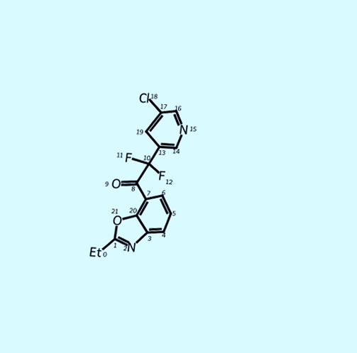 CCc1nc2cccc(C(=O)C(F)(F)c3cncc(Cl)c3)c2o1